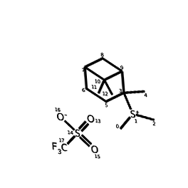 C[S+](C)C1(C)CCC2CC1C2(C)C.O=S(=O)([O-])C(F)(F)F